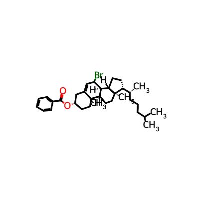 CC(C)CCC[C@@H](C)[C@H]1CC[C@H]2[C@@H]3C(Br)C=C4C[C@@H](OC(=O)c5ccccc5)CC[C@]4(C)[C@H]3CC[C@]12C